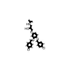 CC(C)NCC(O)COc1ccc(OCc2ccc(Cl)cc2)c(OCc2ccc(Cl)cc2)c1